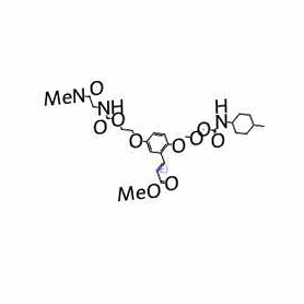 CNC(=O)CNC(=O)OCCOc1ccc(OCOOC(=O)NC2CCC(C)CC2)c(/C=C/C(=O)OC)c1